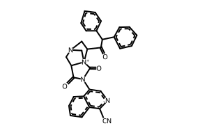 N#Cc1ncc(N2C(=O)C3CN4CC(C(=O)C(c5ccccc5)c5ccccc5)[N+]3(C4)C2=O)c2ccccc12